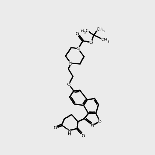 CC(C)(C)OC(=O)N1CCN(CCOc2ccc3c(ccc4onc(C5CCC(=O)NC5=O)c43)c2)CC1